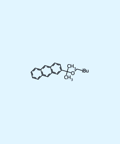 CCC(C)COC(C)(C)c1ccc2cc3ccccc3cc2c1